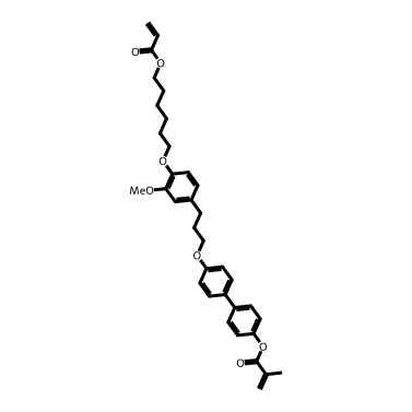 C=CC(=O)OCCCCCCOc1ccc(CCCOc2ccc(-c3ccc(OC(=O)C(=C)C)cc3)cc2)cc1OC